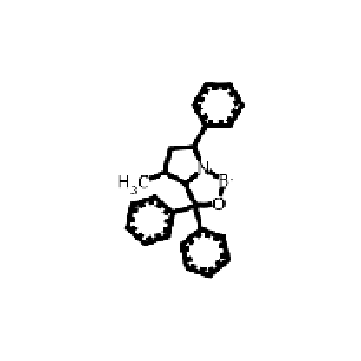 CC1CC(c2ccccc2)N2[B]OC(c3ccccc3)(c3ccccc3)C12